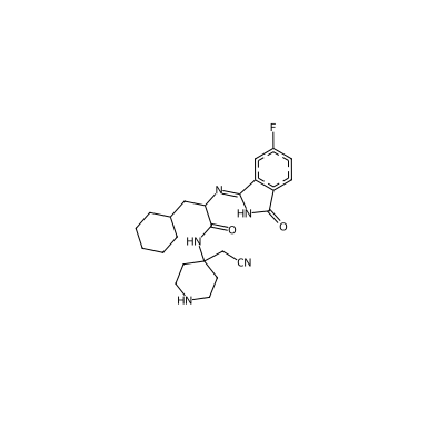 N#CCC1(NC(=O)C(CC2CCCCC2)N=C2NC(=O)c3ccc(F)cc32)CCNCC1